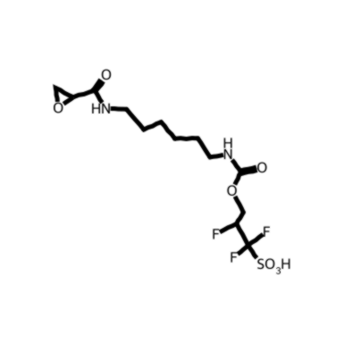 O=C(NCCCCCCNC(=O)C1CO1)OCC(F)C(F)(F)S(=O)(=O)O